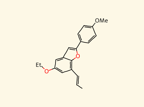 CC=Cc1cc(OCC)cc2cc(-c3ccc(OC)cc3)oc12